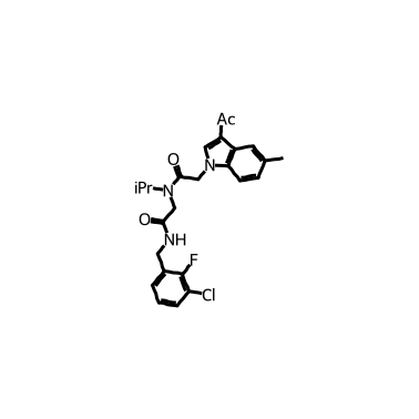 CC(=O)c1cn(CC(=O)N(CC(=O)NCc2cccc(Cl)c2F)C(C)C)c2ccc(C)cc12